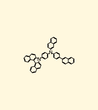 c1ccc2cc(-c3ccc(N(c4ccc(-n5c6ccc7ccccc7c6c6c7ccccc7ccc65)cc4)c4ccc5ccccc5c4)cc3)ccc2c1